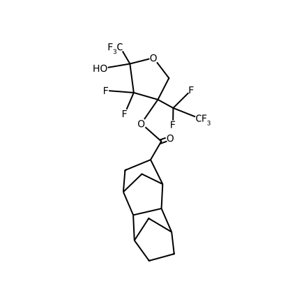 O=C(OC1(C(F)(F)C(F)(F)F)COC(O)(C(F)(F)F)C1(F)F)C1CC2CC1C1C3CCC(C3)C21